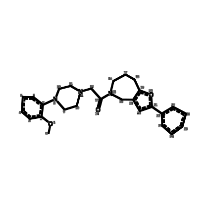 COc1ccccc1N1CCN(CC(=O)N2CCCc3oc(-c4ccccc4)cc3C2)CC1